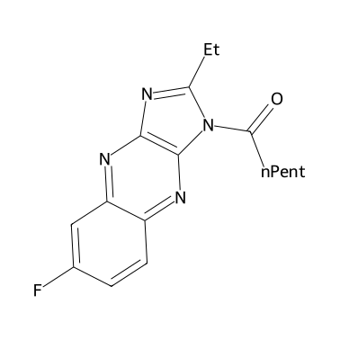 CCCCCC(=O)n1c(CC)nc2nc3cc(F)ccc3nc21